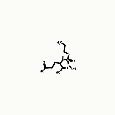 CCCSP(=O)(NC(CCC(=O)O)C(=O)O)SO